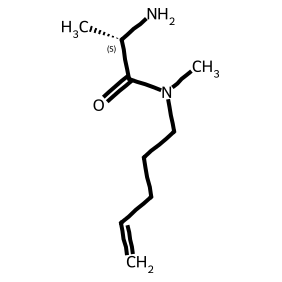 C=CCCCN(C)C(=O)[C@H](C)N